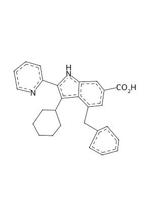 O=C(O)c1cc(Cc2ccccc2)c2c(C3CCCCC3)c(-c3ccccn3)[nH]c2c1